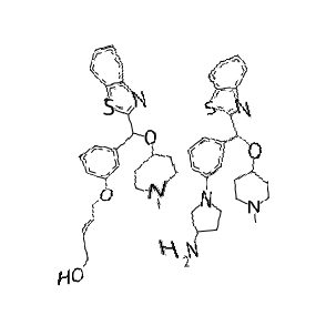 CN1CCC(OC(c2cccc(N3CCC(N)C3)c2)c2nc3ccccc3s2)CC1.CN1CCC(OC(c2cccc(OCC=CCO)c2)c2nc3ccccc3s2)CC1